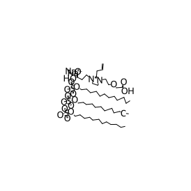 C=CCC1=[N+](CCC(=O)O)CCN1CCOCC(=O)O.CCCCCCCCCCCCOS(=O)(=O)[O-].CCCCCCCCCCCCOS(=O)(=O)[O-].CCCCCCCCCCCCOS(=O)(=O)[O-].[Na+].[Na+]